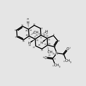 CC(=O)N(C(C)=O)C1=CC[C@H]2[C@@H]3CC[C@@H]4C=CC=C[C@]4(C)[C@H]3CC[C@]12C